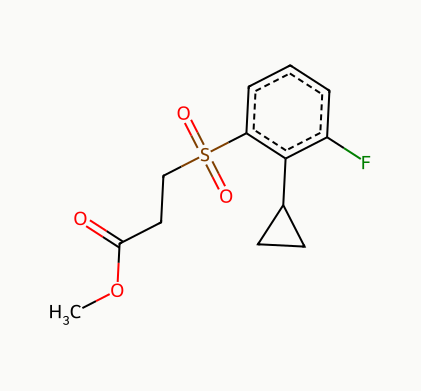 COC(=O)CCS(=O)(=O)c1cccc(F)c1C1CC1